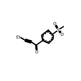 CCC#CC(=O)c1ccc(S(C)(=O)=O)cc1